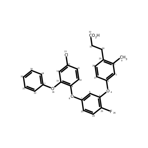 Cc1cc(Oc2cc(Oc3ccc(Cl)cc3Oc3ccccc3)ccc2F)ccc1CCC(=O)O